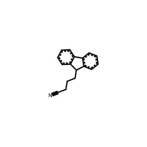 N#CCCCC1c2ccccc2-c2ccccc21